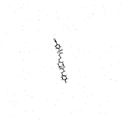 N#Cc1ccc(S(=O)(=O)NCCCN2CC3CN(CCc4ccc(F)cc4)CC(C2)O3)cc1